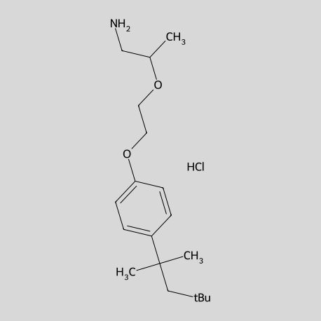 CC(CN)OCCOc1ccc(C(C)(C)CC(C)(C)C)cc1.Cl